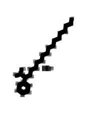 Br.CCCCCCCCCCCCCCCCC(c1ccccc1)N(C)C